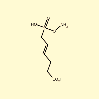 NOP(=O)(O)CC=CCCC(=O)O